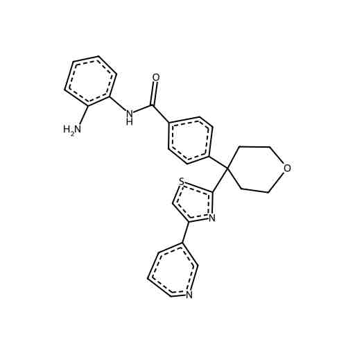 Nc1ccccc1NC(=O)c1ccc(C2(c3nc(-c4cccnc4)cs3)CCOCC2)cc1